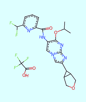 CC(C)Oc1nc2nc(C3C4COCC43)cn2cc1NC(=O)c1cccc(C(F)F)n1.O=C(O)C(F)(F)F